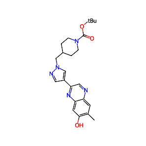 Cc1cc2ncc(-c3cnn(CC4CCN(C(=O)OC(C)(C)C)CC4)c3)nc2cc1O